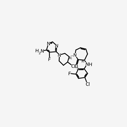 Nc1ncnc(N2CCC(C(F)(F)F)[C@@H](N3CC=CC[C@@H](Nc4cc(F)cc(Cl)c4)C3=O)C2)c1F